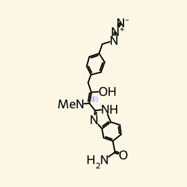 CN/C(=C(/O)Cc1ccc(CN=[N+]=[N-])cc1)c1nc2cc(C(N)=O)ccc2[nH]1